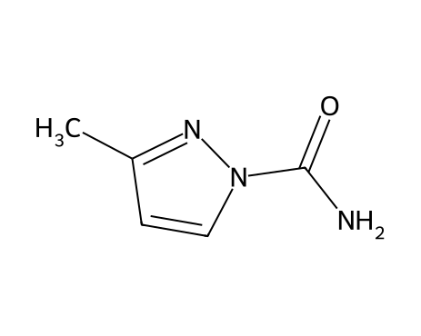 Cc1ccn(C(N)=O)n1